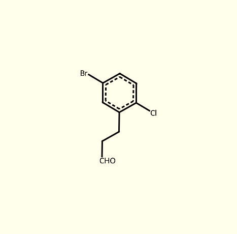 O=CCCc1cc(Br)ccc1Cl